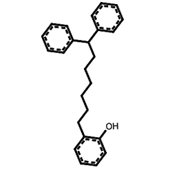 Oc1ccccc1CCCCCCC(c1ccccc1)c1ccccc1